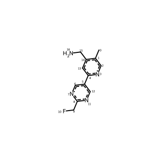 Cc1cnc(-c2cnc(CF)nc2)cc1CN